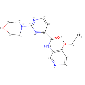 O=C(Nc1cnccc1OCC(F)(F)F)c1ccnc(N2CCOCC2)n1